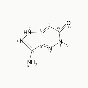 Cn1nc2c(N)n[nH]c2cc1=O